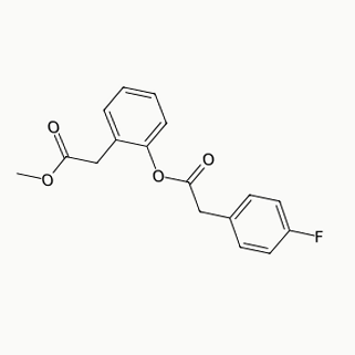 COC(=O)Cc1ccccc1OC(=O)Cc1ccc(F)cc1